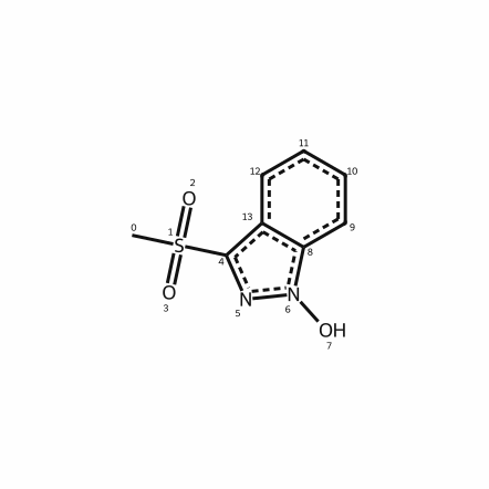 CS(=O)(=O)c1nn(O)c2ccccc12